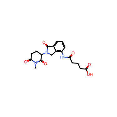 CN1C(=O)CCC(N2Cc3c(NC(=O)CCCC(=O)O)cccc3C2=O)C1=O